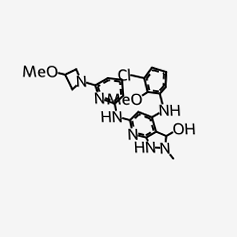 COc1c(Cl)cccc1Nc1cc(Nc2cccc(N3CC(OC)C3)n2)nc2c1C(O)N(C)N2